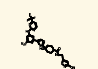 Cc1cc(Nc2nccc(C(F)(F)F)n2)cc(-c2cnc(C3(O)CCC(C(=O)NCc4cc(O)no4)CC3)s2)c1